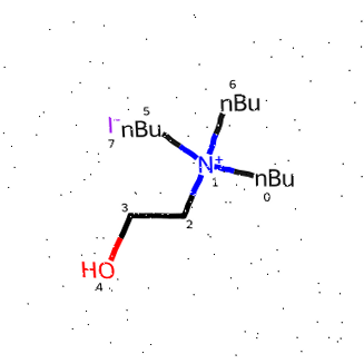 CCCC[N+](CCO)(CCCC)CCCC.[I-]